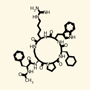 CC(=O)N[C@@H](Cc1ccccc1)C(=O)N[C@H]1CCNC(=O)C(CCCCNC(=N)N)NC(=O)C(Cc2c[nH]c3ccccc23)NC(=O)[C@@H](CC2CCCCC2)NC(=O)C2CCCN2C1=O